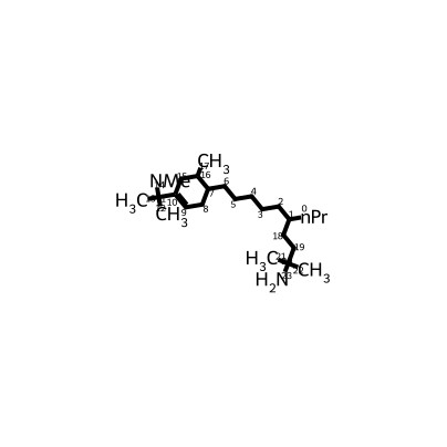 CCCC(CCCCCC1CC=C(C(C)(C)NC)CC1C)CCC(C)(C)N